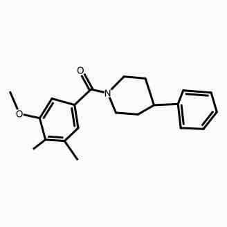 COc1cc(C(=O)N2CCC(c3ccccc3)CC2)cc(C)c1C